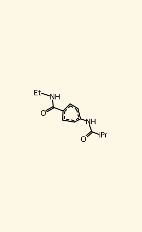 CCNC(=O)c1ccc(NC(=O)C(C)C)cc1